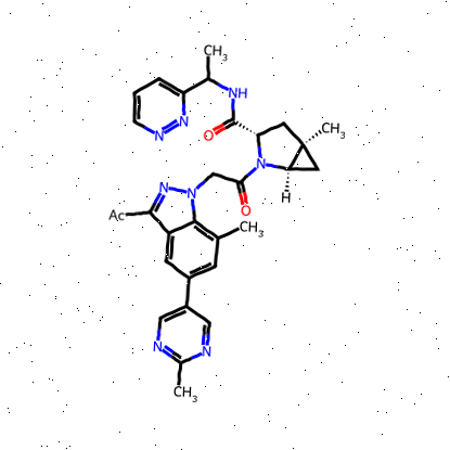 CC(=O)c1nn(CC(=O)N2[C@H](C(=O)NC(C)c3cccnn3)C[C@@]3(C)C[C@@H]23)c2c(C)cc(-c3cnc(C)nc3)cc12